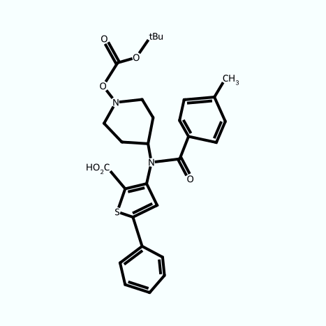 Cc1ccc(C(=O)N(c2cc(-c3ccccc3)sc2C(=O)O)C2CCN(OC(=O)OC(C)(C)C)CC2)cc1